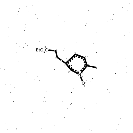 CCOC(=O)CCc1ccc(C)[n+]([O-])c1